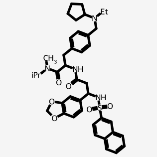 CCN(Cc1ccc(CC(NC(=O)CC(NS(=O)(=O)c2ccc3ccccc3c2)c2ccc3c(c2)OCO3)C(=O)N(C)C(C)C)cc1)C1CCCC1